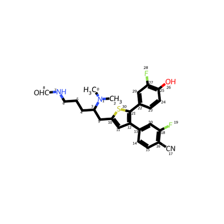 CN(C)C(CCCNC=O)Cc1cc(-c2ccc(C#N)c(F)c2)c(-c2ccc(O)c(F)c2)s1